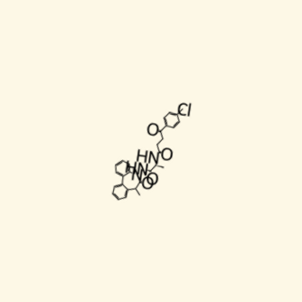 CC1C(=O)N(NC(=O)[C@H](C)NC(=O)CCC(=O)c2ccc(Cl)cc2)c2ccccc2-c2ccccc21